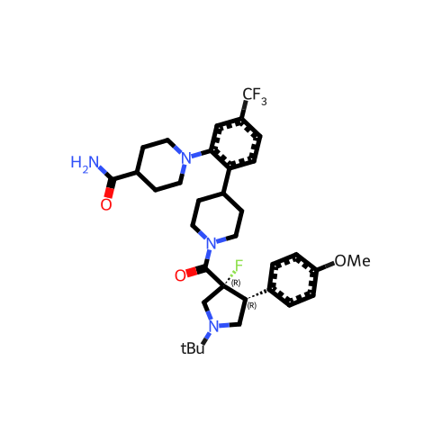 COc1ccc([C@@H]2CN(C(C)(C)C)C[C@@]2(F)C(=O)N2CCC(c3ccc(C(F)(F)F)cc3N3CCC(C(N)=O)CC3)CC2)cc1